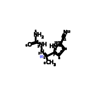 C/C(=N/NC(N)=O)c1ccc(C#N)[nH]1